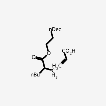 C=CC(=O)O.CCCCCCCCCCCCOC(=O)C(C)CCCC